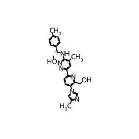 Cc1ccc([C@@H](CO)Nc2nnc(-c3ccc(-n4cnc(C)c4)c(CO)n3)cc2C)cc1